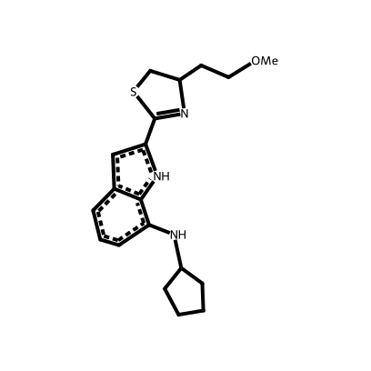 COCCC1CSC(c2cc3cccc(NC4CCCC4)c3[nH]2)=N1